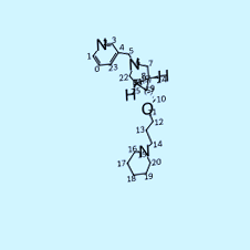 c1cncc(CN2C[C@@H]3[C@H](COCCCN4CCCCC4)[C@@H]3C2)c1